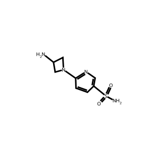 NC1CN(c2ccc(S(N)(=O)=O)cn2)C1